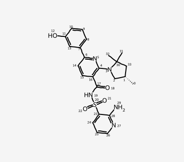 C[C@@H]1CN(c2nc(-c3cccc(O)c3)ccc2C(=O)NS(=O)(=O)c2cccnc2N)C(C)(C)C1